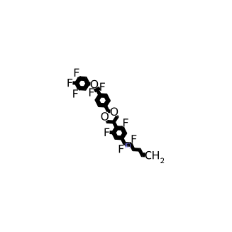 C=CCC/C(F)=C(\F)c1cc(F)c(C2COC(c3ccc(C(F)(F)Oc4cc(F)c(F)c(F)c4)cc3)OC2)c(F)c1